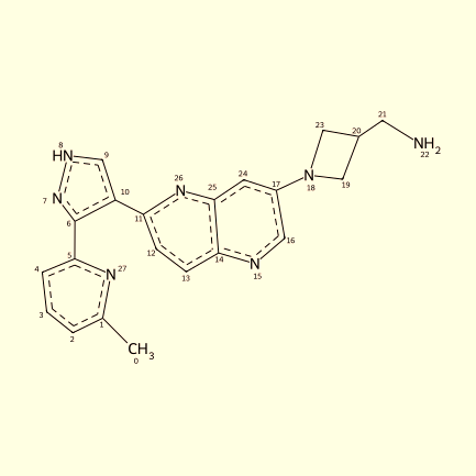 Cc1cccc(-c2n[nH]cc2-c2ccc3ncc(N4CC(CN)C4)cc3n2)n1